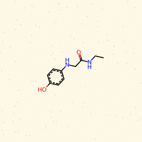 CCNC(=O)CNc1ccc(O)cc1